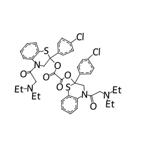 CCN(CC)CC(=O)N1CC(OC(=O)C(=O)OC2(c3ccc(Cl)cc3)CN(C(=O)CN(CC)CC)c3ccccc3S2)(c2ccc(Cl)cc2)Sc2ccccc21